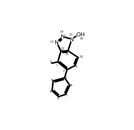 Cc1c(-c2ccccc2)ccc2c1nnn2O